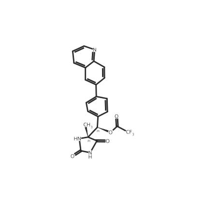 C[C@]1([C@H](OC(=O)C(F)(F)F)c2ccc(-c3ccc4ncccc4c3)cc2)NC(=O)NC1=O